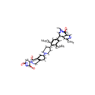 COc1cc2c(-c3cc(OC)c(C4CCN(c5ccc6c(c5)C(=O)N(C5CCC(=O)NC5=O)C6)CC4)c(OC)c3)cn(C)c(=O)c2cn1